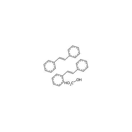 C(=Cc1ccccc1)c1ccccc1.C(=Cc1ccccc1)c1ccccc1.O=C(O)O